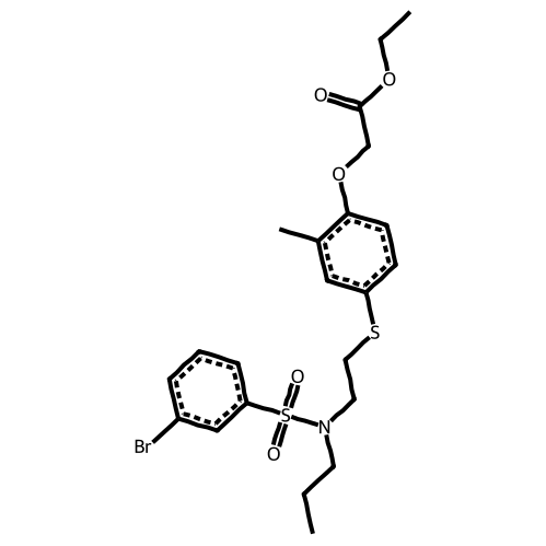 CCCN(CCSc1ccc(OCC(=O)OCC)c(C)c1)S(=O)(=O)c1cccc(Br)c1